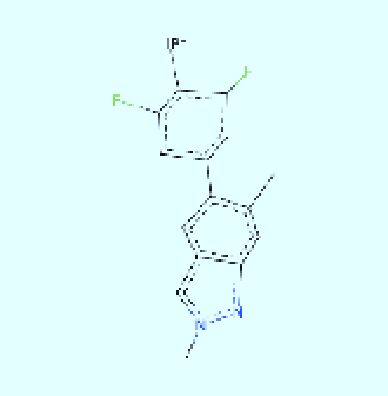 Cc1cc2nn(C)cc2cc1-c1cc(F)c(C(C)C)c(F)c1